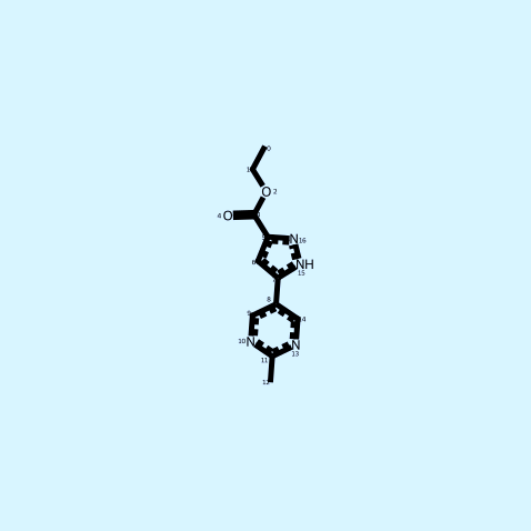 CCOC(=O)c1cc(-c2cnc(C)nc2)[nH]n1